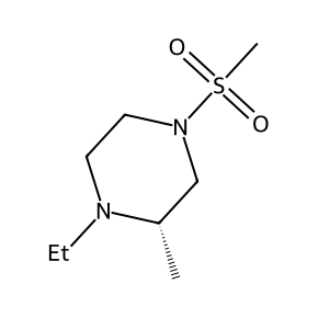 CCN1CCN(S(C)(=O)=O)C[C@@H]1C